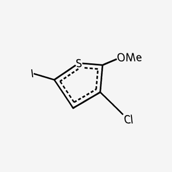 COc1sc(I)cc1Cl